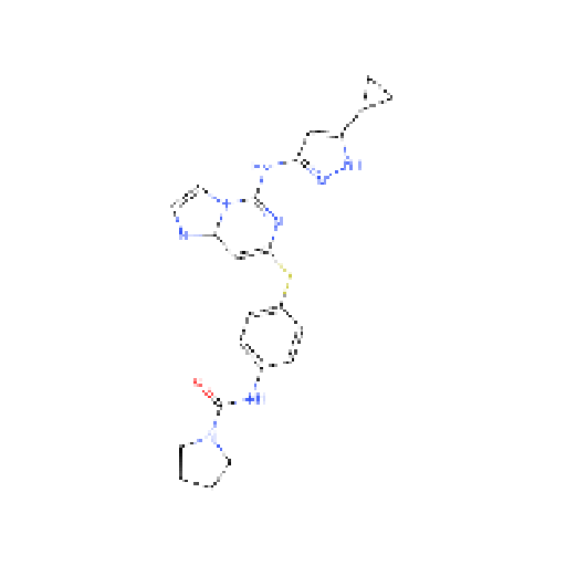 O=C(Nc1ccc(Sc2cc3nccn3c(Nc3cc(C4CC4)[nH]n3)n2)cc1)N1CCCC1